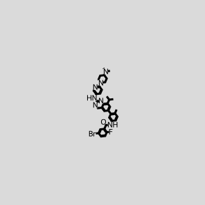 Cc1ccc(NC(=O)c2cc(Br)ccc2F)cc1-c1cc(C(C)C)c2nc(Nc3ccc(N4CCC(N(C)C)CC4)nc3)ncc2c1